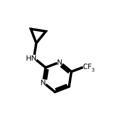 FC(F)(F)c1ccnc(NC2CC2)n1